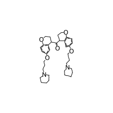 O=C(C1CCOc2ccc(OCCCN3CCCCC3)cc21)C1CCOc2ccc(OCCCN3CCCCC3)cc21